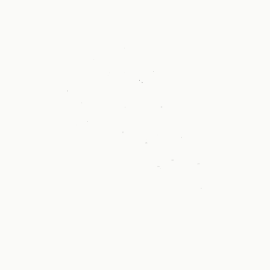 O=C1CSC(c2cccc(C(F)(F)F)c2)N1c1cccc(Oc2ccc(Cl)cc2)c1